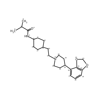 CC(C)C(=O)NC1CCC(CCN2CCC(c3cccc4c3OCO4)CC2)CC1